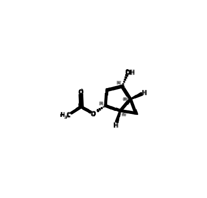 CC(=O)O[C@@H]1C[C@H](O)[C@@H]2C[C@@H]21